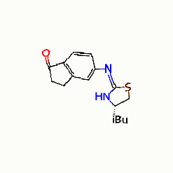 CCC(C)[C@H]1CSC(=Nc2ccc3c(c2)CCC3=O)N1